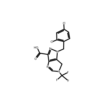 O=C(O)c1nn(Cc2ccc(Cl)cc2Cl)c2c1N=CN(C(F)(F)F)C2